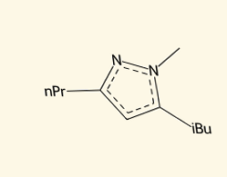 CCCc1cc(C(C)CC)n(C)n1